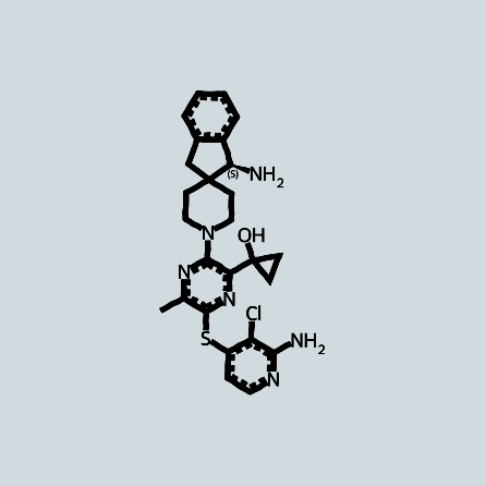 Cc1nc(N2CCC3(CC2)Cc2ccccc2[C@H]3N)c(C2(O)CC2)nc1Sc1ccnc(N)c1Cl